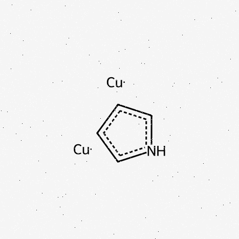 [Cu].[Cu].c1cc[nH]c1